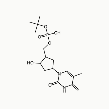 C=C1NC(=O)N(C2CC(O)C(COP(=O)(O)OC(C)(C)C)C2)C=C1C